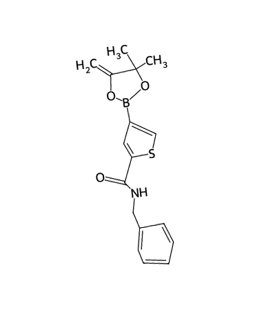 C=C1OB(c2csc(C(=O)NCc3ccccc3)c2)OC1(C)C